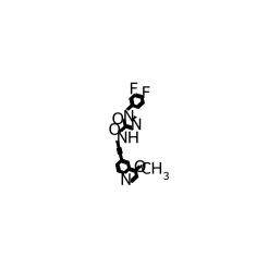 COc1ccnc2ccc(C#CCNC(=O)c3cncn(Cc4ccc(F)c(F)c4)c3=O)cc12